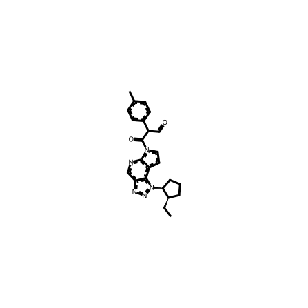 CC[C@@H]1CCC[C@@H]1n1nnc2cnc3c(ccn3C(=O)C(C=O)c3ccc(C)cc3)c21